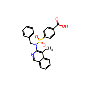 Cc1c(N(Cc2ccccc2)S(=O)(=O)c2ccc(C(=O)O)cc2)ncc2ccccc12